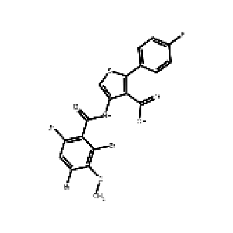 COc1c(Br)cc(Br)c(C(=O)Nc2csc(-c3ccc(F)cc3)c2C(=O)O)c1Br